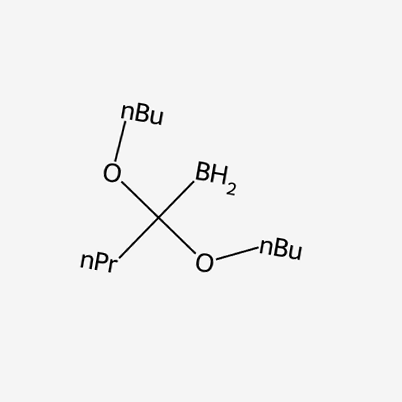 BC(CCC)(OCCCC)OCCCC